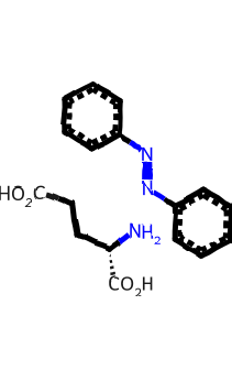 N[C@@H](CCC(=O)O)C(=O)O.c1ccc(N=Nc2ccccc2)cc1